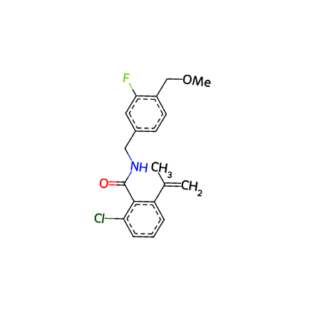 C=C(C)c1cccc(Cl)c1C(=O)NCc1ccc(COC)c(F)c1